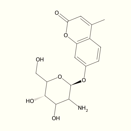 Cc1cc(=O)oc2cc(O[C@@H]3OC(CO)[C@@H](O)C(O)C3N)ccc12